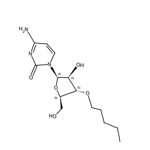 CCCCCO[C@H]1[C@H](O)[C@H](n2ccc(N)nc2=O)O[C@@H]1CO